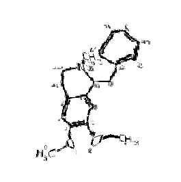 COc1cc2c(cc1OC)C(Cc1ccccc1)N(C)CC2